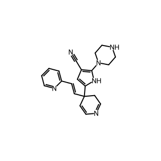 N#Cc1cc(C2(C=Cc3ccccn3)C=CN=CC2)[nH]c1N1CCNCC1